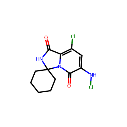 O=C1NC2(CCCCC2)n2c1c(Cl)cc(NCl)c2=O